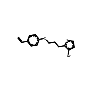 C=Cc1ccc(OCCCc2sccc2C(C)=O)cc1